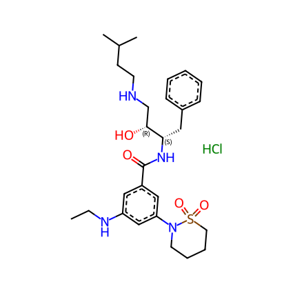 CCNc1cc(C(=O)N[C@@H](Cc2ccccc2)[C@H](O)CNCCC(C)C)cc(N2CCCCS2(=O)=O)c1.Cl